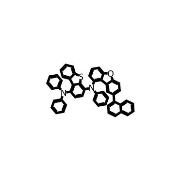 c1ccc(N(c2ccc(N(c3ccccc3)c3ccccc3)c3c2sc2ccccc23)c2cccc3oc4ccc(-c5cccc6ccccc56)cc4c23)cc1